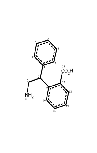 NCC(c1ccccc1)c1ccccc1C(=O)O